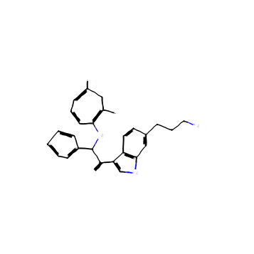 C=C(c1c[nH]c2cc(CCCN)ccc12)C(NC1=C(C)CC(C)=CC=C1)c1ccccc1